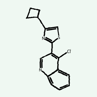 Clc1c(-c2nc(C3CCC3)cs2)[c]nc2ccccc12